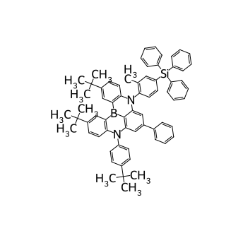 Cc1cc([Si](c2ccccc2)(c2ccccc2)c2ccccc2)ccc1N1c2ccc(C(C)(C)C)cc2B2c3cc(C(C)(C)C)ccc3N(c3ccc(C(C)(C)C)cc3)c3cc(-c4ccccc4)cc1c32